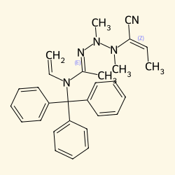 C=CN(/C(C)=N/N(C)N(C)/C(C#N)=C\C)C(c1ccccc1)(c1ccccc1)c1ccccc1